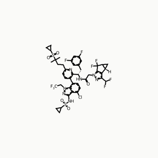 CC(C)(CCc1ccc(-c2ccc(Cl)c3c(NS(=O)(=O)C4CC4)nn(CC(F)(F)F)c23)c([C@H](Cc2cc(F)cc(F)c2)NC(=O)Cn2nc(C(F)F)c3c2C(F)(F)C2C[C@H]32)n1)S(=O)(=O)C1CC1